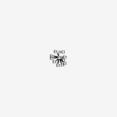 C[CH2][Pt](=[O])([CH2]C)([CH2]C)([CH2]C)([CH2]C)([CH2]C)([CH2]C)[CH2]C.Cl